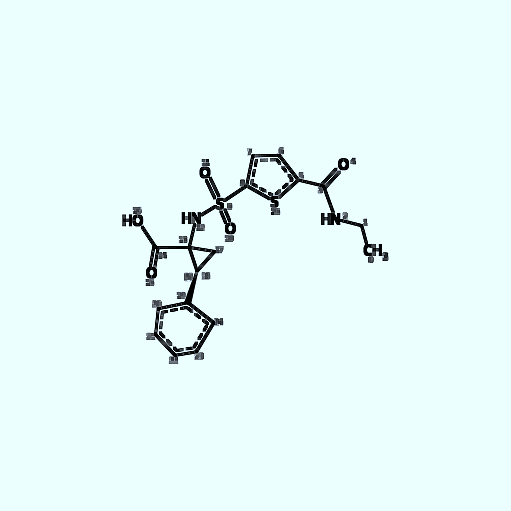 CCNC(=O)c1ccc(S(=O)(=O)NC2(C(=O)O)C[C@H]2c2ccccc2)s1